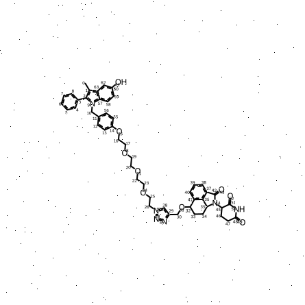 Cc1c(-c2ccccc2)n(Cc2ccc(OCCOCCOCCOCCn3cc(COC4CCC5c6c(cccc64)C(=O)N5C4CCC(=O)NC4=O)nn3)cc2)c2ccc(O)cc12